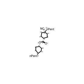 CCCCC[C@H]1CC[C@H](OC(=O)[C@H]2CC[C@](C#N)(CCCCC)CC2)CC1